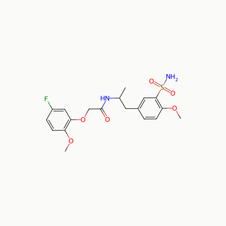 COc1ccc(F)cc1OCC(=O)NC(C)Cc1ccc(OC)c(S(N)(=O)=O)c1